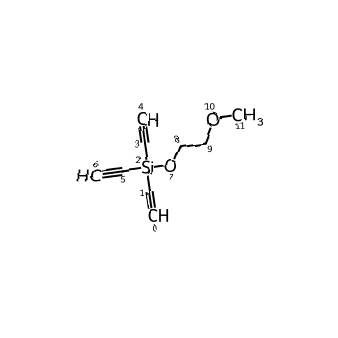 C#C[Si](C#C)(C#C)OCCOC